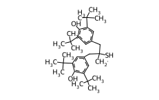 [CH2]C(S)(Cc1cc(C(C)(C)C)c(O)c(C(C)(C)C)c1)Cc1cc(C(C)(C)C)c(O)c(C(C)(C)C)c1